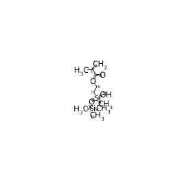 C=C(C)C(=O)OCC[Si](C)(O)O[Si](C)(C)C